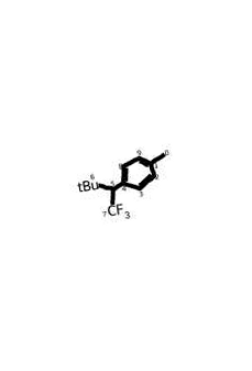 Cc1ccc(C(C(C)(C)C)C(F)(F)F)cc1